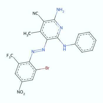 Cc1c(C#N)c(N)nc(Nc2ccccc2)c1/N=N/c1c(Br)cc([N+](=O)[O-])cc1C(F)(F)F